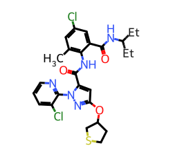 CCC(CC)NC(=O)c1cc(Cl)cc(C)c1NC(=O)c1cc(OC2CCSC2)nn1-c1ncccc1Cl